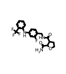 NC(=O)C1OCCC1C(=O)NCc1ccc(Nc2ccccc2C(F)(F)F)cc1F